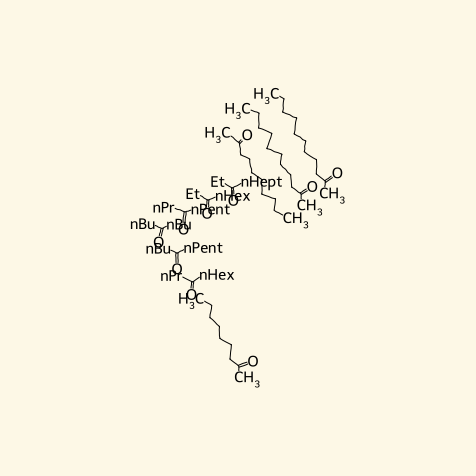 CCCCC(=O)CCCC.CCCCCC(=O)CCC.CCCCCC(=O)CCCC.CCCCCCC(=O)CC.CCCCCCC(=O)CCC.CCCCCCCC(=O)CC.CCCCCCCC(C)=O.CCCCCCCCC(C)=O.CCCCCCCCCC(C)=O.CCCCCCCCCC(C)=O